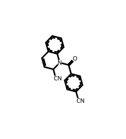 N#Cc1ccc(C(=O)N2c3ccccc3C=CC2C#N)cc1